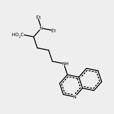 CCN(CC)C(CCCNc1ccnc2ccccc12)C(=O)O